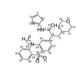 C=C(Nc1nccs1)C(CC1CCOCC1)c1ccc2c(c1)N(C)c1ccccc1S2(=O)=O